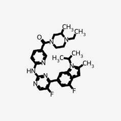 CCN1CCN(C(=O)c2ccc(Nc3ncc(F)c(-c4cc(F)c5cc(C)n(C(C)C)c5c4)n3)nc2)CC1C